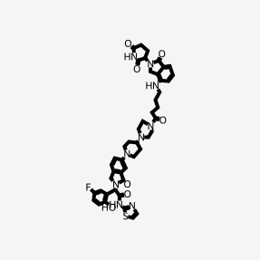 O=C1CCC(N2Cc3c(NCCCCC(=O)N4CCN(C5CCN(c6ccc7c(c6)C(=O)N(C(C(=O)Nc6nccs6)c6cc(F)ccc6O)C7)CC5)CC4)cccc3C2=O)C(=O)N1